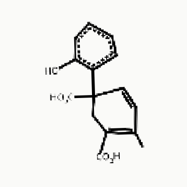 CC1=C(C(=O)O)CC(C(=O)O)(c2ccccc2O)C=C1